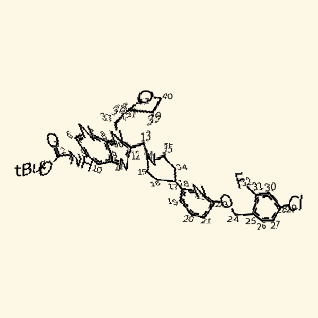 CC(C)(C)OC(=O)Nc1cnc2c(c1)nc(CN1CCC(c3cccc(OCc4ccc(Cl)cc4F)n3)CC1)n2C[C@@H]1CCO1